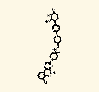 CC1(NCC2CCN(c3ccc(C4CCC(=O)NC4O)cn3)CC2)CCN(c2cnc(-c3cccc(Cl)c3Cl)c(N)n2)CC1